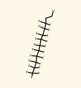 [Li][CH2]CC(F)(F)C(F)(F)C(F)(F)C(F)(F)C(F)(F)C(F)(F)C(F)(F)C(F)(F)C(F)(F)C(F)(F)F